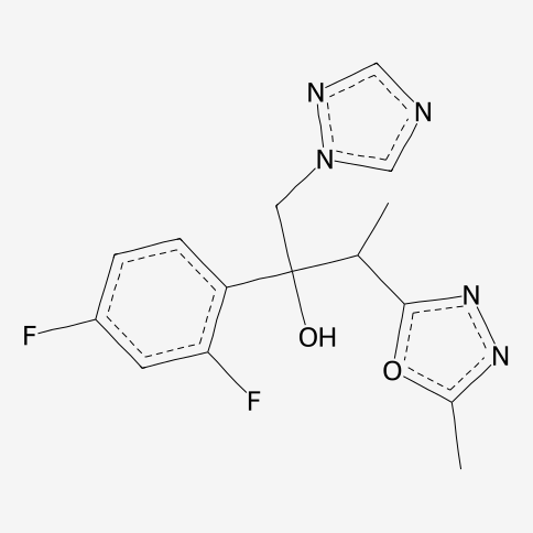 Cc1nnc(C(C)C(O)(Cn2cncn2)c2ccc(F)cc2F)o1